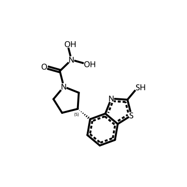 O=C(N(O)O)N1CC[C@@H](c2cccc3sc(S)nc23)C1